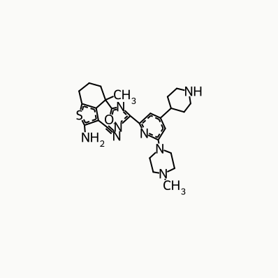 CN1CCN(c2cc(C3CCNCC3)cc(-c3noc(C4(C)CCCc5sc(N)c(C#N)c54)n3)n2)CC1